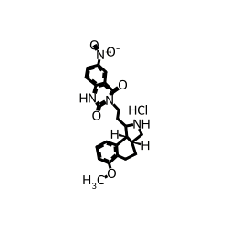 COc1cccc2c1CC[C@H]1CNC(CCn3c(=O)[nH]c4ccc([N+](=O)[O-])cc4c3=O)[C@@H]21.Cl